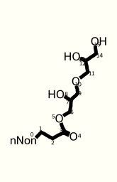 CCCCCCCCCCCC(=O)OCC(O)COCC(O)CO